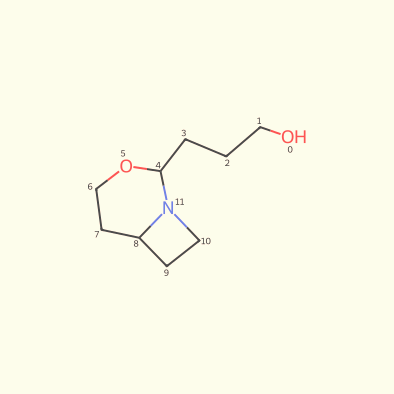 OCCCC1OCCC2CCN21